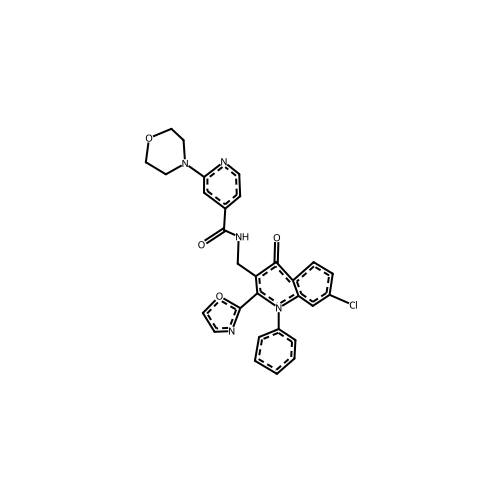 O=C(NCc1c(-c2ncco2)n(-c2ccccc2)c2cc(Cl)ccc2c1=O)c1ccnc(N2CCOCC2)c1